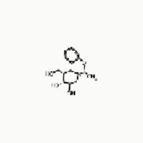 CC(Oc1ccccc1)N1C[C@H](CO)[C@@H](O)[C@H](O)C1